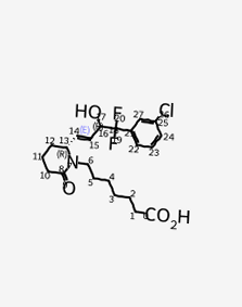 O=C(O)CCCCCCN1C(=O)CCC[C@@H]1/C=C/[C@@H](O)C(F)(F)c1cccc(Cl)c1